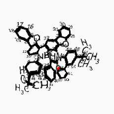 CC(C)(C)c1ccc(Nc2ccc3c(oc4ccccc43)c2-c2cc3c(oc4ccccc43)c3c2Bc2c(oc4ccccc24)N3c2ccc(C(C)(C)C)cc2-c2ccccc2)cc1